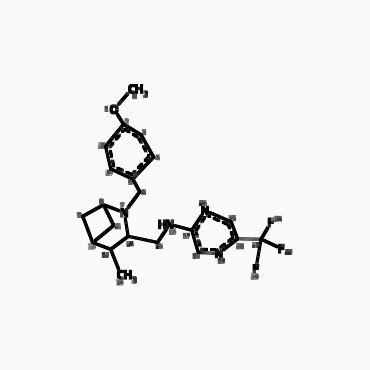 COc1ccc(CN2C3CC(C3)C(C)C2CNc2cnc(C(F)(F)F)cn2)cc1